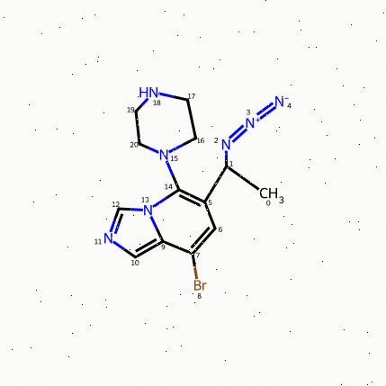 CC(N=[N+]=[N-])c1cc(Br)c2cncn2c1N1CCNCC1